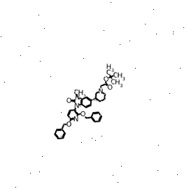 Cn1c(=O)n(-c2ccc(OCc3ccccc3)nc2OCc2ccccc2)c2ccc([C@@H]3CCCN(CC(=O)OC(C)(C)C)C3)cc21